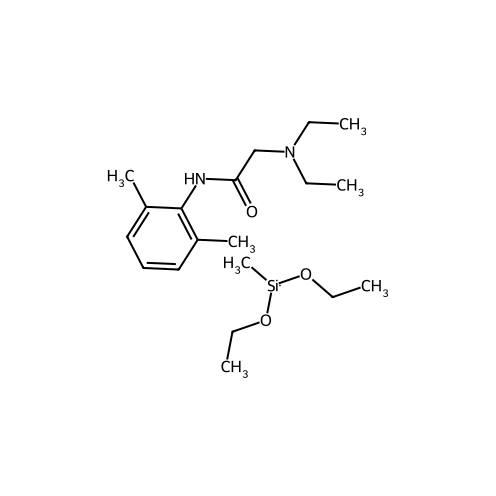 CCN(CC)CC(=O)Nc1c(C)cccc1C.CCO[Si](C)OCC